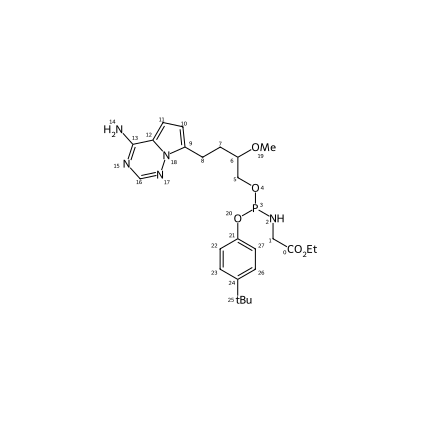 CCOC(=O)CNP(OCC(CCc1ccc2c(N)ncnn12)OC)Oc1ccc(C(C)(C)C)cc1